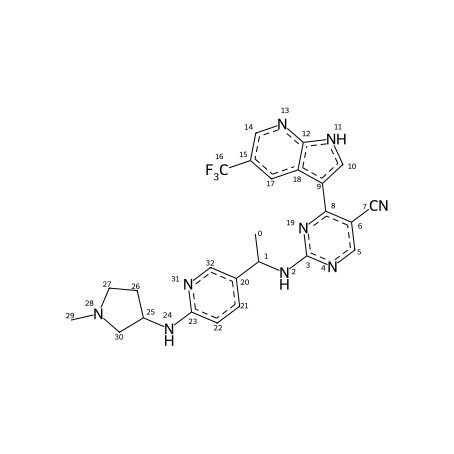 CC(Nc1ncc(C#N)c(-c2c[nH]c3ncc(C(F)(F)F)cc23)n1)c1ccc(NC2CCN(C)C2)nc1